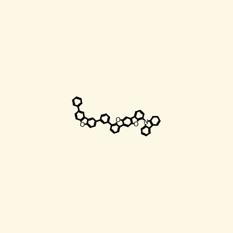 C1=Cc2c(n(-c3cccc4c3oc3cc5c(cc34)oc3c(-c4cccc(-c6ccc7oc8ccc(-c9ccccc9)cc8c7c6)c4)cccc35)c3ccccc23)CC1